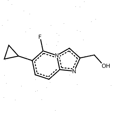 OCc1cn2c(F)c(C3CC3)ccc2n1